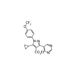 CCOC(=O)c1c(-c2cncnc2)nn(-c2ccc(OC(F)(F)F)cc2)c1C1CC1